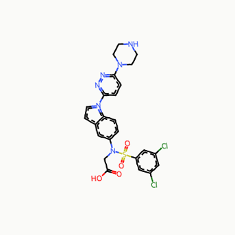 O=C(O)CN(c1ccc2c(ccn2-c2ccc(N3CCNCC3)nn2)c1)S(=O)(=O)c1cc(Cl)cc(Cl)c1